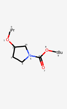 CC(C)OC1CCN(C(=O)OC(C)(C)C)C1